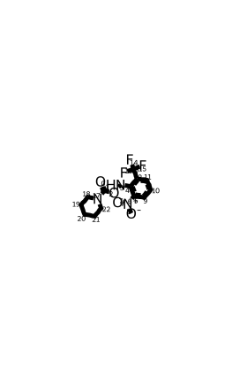 O=C(ONc1c([N+](=O)[O-])cccc1C(F)(F)F)N1CCCCC1